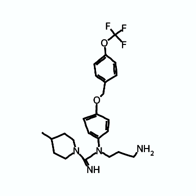 CC1CCN(C(=N)N(CCCN)c2ccc(OCc3ccc(OC(F)(F)F)cc3)cc2)CC1